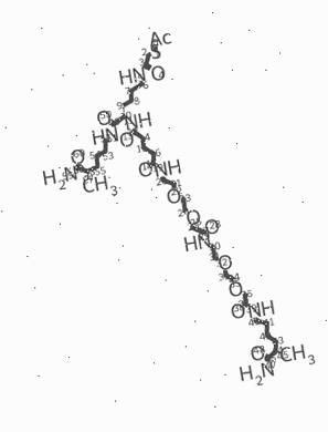 CC(=O)SCC(=O)NCCCC[C@H](NC(=O)CCCC(=O)NCCOCCOCC(=O)NCCOCCOCC(=O)NCCCC[C@H](C)C(N)=O)C(=O)NCCCC[C@H](C)C(N)=O